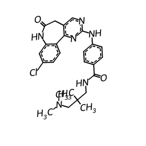 CN(C)CC(C)(C)CNC(=O)c1ccc(Nc2ncc3c(n2)-c2ccc(Cl)cc2NC(=O)C3)cc1